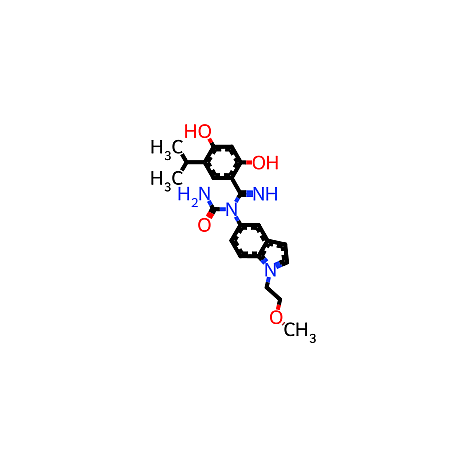 COCCn1ccc2cc(N(C(=N)c3cc(C(C)C)c(O)cc3O)C(N)=O)ccc21